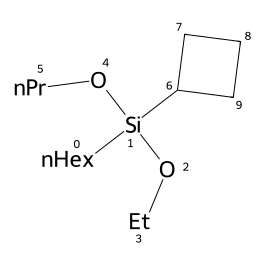 CCCCCC[Si](OCC)(OCCC)C1CCC1